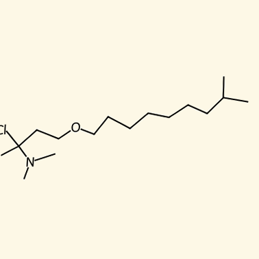 CC(C)CCCCCCCOCCC(C)(Cl)N(C)C